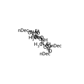 CCCCCCCCCCCC(=O)CN(CCN(CC)C(=O)CCN(C)CCNC(=O)OCCN(C)CCC(=O)N(CC)CCN(CC(=O)CCCCCCCCCCC)CC(=O)CCCCCCCCCCC)CC(=O)CCCCCCCCCCC